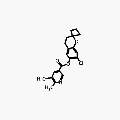 Cc1cc(C(=O)Oc2cc3c(cc2Cl)OC2(CCC2)CC3)cnc1C